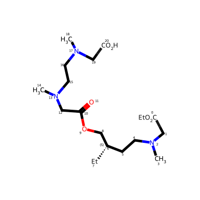 CCOC(=O)CN(C)CC[C@H](CC)COC(=O)CN(C)CCN(C)CC(=O)O